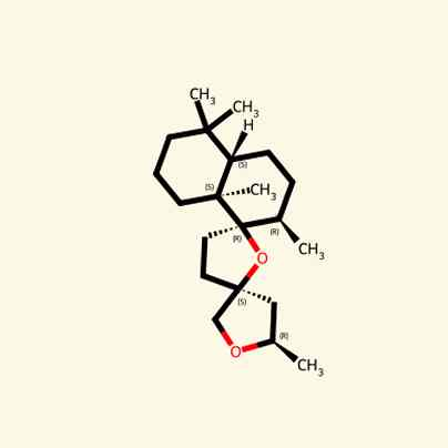 C[C@@H]1C[C@@]2(CC[C@@]3(O2)[C@H](C)CC[C@H]2C(C)(C)CCC[C@@]23C)CO1